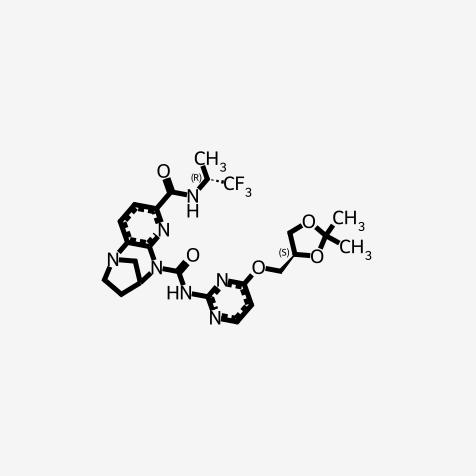 C[C@@H](NC(=O)c1ccc2c(n1)N(C(=O)Nc1nccc(OC[C@H]3COC(C)(C)O3)n1)C1CCN2C1)C(F)(F)F